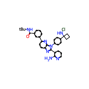 CC(C)(C)NC(=O)c1cccc(-c2ccc3nc(-c4cccnc4N)n(-c4ccc(C5(NCl)CCC5)cc4)c3n2)c1